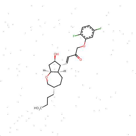 O=C(O)CCC[C@H]1CC[C@@H]2[C@@H](/C=C/C(=O)COc3cc(F)ccc3F)[C@H](O)C[C@@H]2OC1